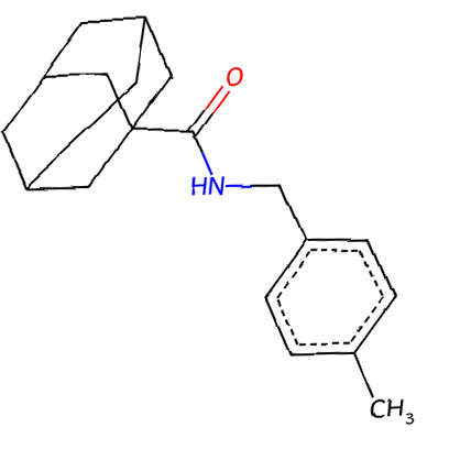 Cc1ccc(CNC(=O)C23CC4CC(CC(C4)C2)C3)cc1